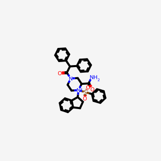 NC(=O)C1CN(C(=O)C(c2ccccc2)c2ccccc2)CC[N+]1(C1CCc2ccccc21)S(=O)(=O)c1ccccc1